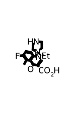 CC[N+]1(N2CCNCC2)C=C(C(=O)O)C(=O)c2c1ccc(F)c2C